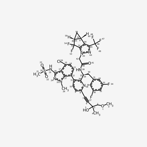 COCC(C)(O)C#Cc1ccc(-c2ccc(Cl)c3c(NS(C)(=O)=O)nn(C)c23)c([C@H](Cc2cc(F)cc(F)c2)NC(=O)Cn2nc(C(F)(F)F)c3c2C(F)(F)[C@@H]2C[C@H]32)n1